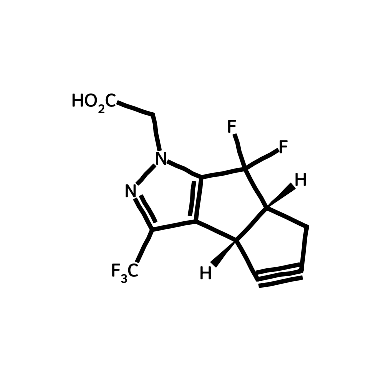 O=C(O)Cn1nc(C(F)(F)F)c2c1C(F)(F)[C@@H]1CC#C[C@H]21